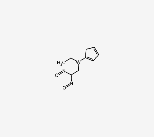 C[CH2][W]([CH2]C(N=O)N=O)[C]1=CC=CC1